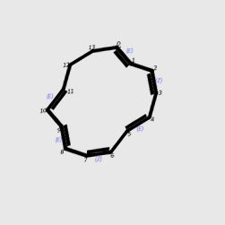 [C]1=C/C=C\C=C\C=C/C=C/C=C/CC/1